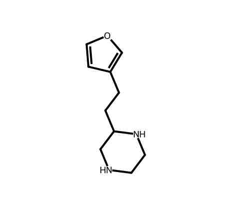 c1cc(CCC2CNCCN2)co1